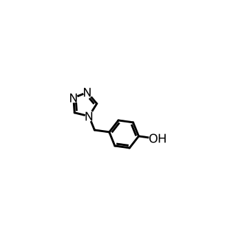 Oc1ccc(Cn2cnnc2)cc1